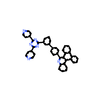 c1cc(-c2ccc(-c3nc4ccccc4c4c5ccccc5c5ccccc5c34)cc2)cc(-c2nc(-c3ccncc3)nc(-c3ccncc3)n2)c1